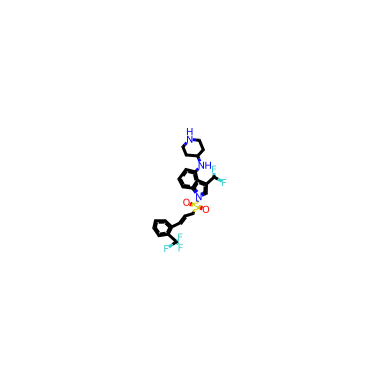 O=S(=O)(CC=Cc1ccccc1C(F)(F)F)n1cc(C(F)F)c2c(NC3CCNCC3)cccc21